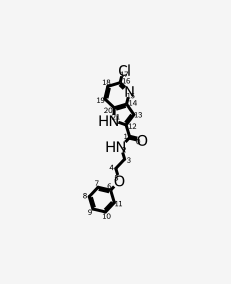 O=C(NCCOc1ccccc1)c1cc2nc(Cl)ccc2[nH]1